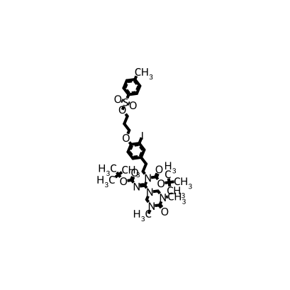 Cc1ccc(S(=O)(=O)OCCCOc2ccc(CCN(C(=O)OC(C)(C)C)C(=NC(=O)OC(C)(C)C)N3CN(C)C(=O)N(C)C3)cc2I)cc1